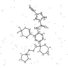 CC1(C)CC=C(c2cc(C3(OCCN4CCCC4)CCOCC3)ccc2NC(=O)c2nc(C#N)c[nH]2)CC1